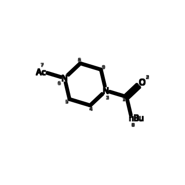 CCCCC(=O)N1CCN(C(C)=O)CC1